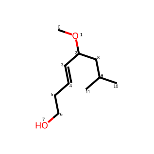 COC(C=CCCO)CC(C)C